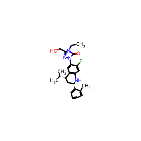 CCn1c(CO)nn(-c2cc3c(cc2F)N[C@H](c2ccccc2C)C[C@@H]3C(C)C)c1=O